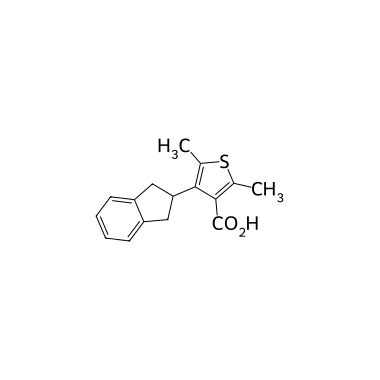 Cc1sc(C)c(C2Cc3ccccc3C2)c1C(=O)O